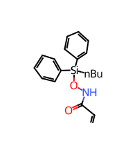 C=CC(=O)NO[Si](CCCC)(c1ccccc1)c1ccccc1